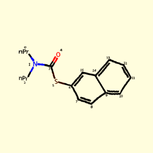 CCCN(CCC)C(=O)Sc1ccc2ccccc2c1